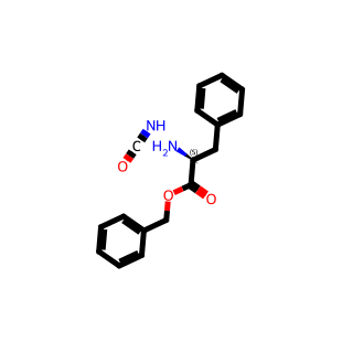 N=C=O.N[C@@H](Cc1ccccc1)C(=O)OCc1ccccc1